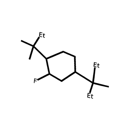 CCC(C)(C)C1CCC(C(C)(CC)CC)CC1F